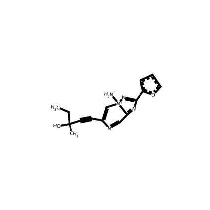 CCC(C)(O)C#CC1=C[N+]2(N)N=C(c3ccco3)N=C2C=N1